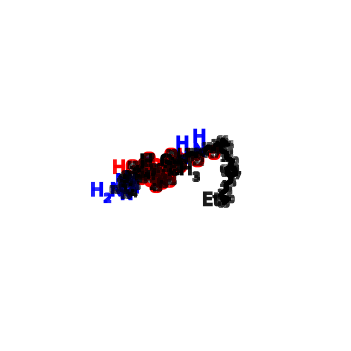 CCC1(CCCCc2ccc(CCCCC3(CC(=O)CCNC(=O)CCNC(=O)C(O)C(C)(C)COP(=O)(O)OP(=O)(O)OCC4OC(n5cnc6c(N)ncnc65)C(O)C4OP(=O)(O)O)CC3)cc2)CC1